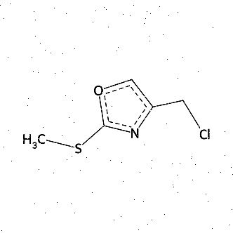 CSc1nc(CCl)co1